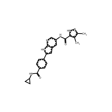 Cc1n[nH]c(C(=O)Nc2cnc3[nH]c(-c4ccc(C(=O)NC5CC5)cc4)cc3c2)c1C